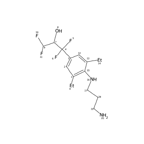 CCc1cc(C(F)(F)C(O)C(F)F)cc(CC)c1NCCCN